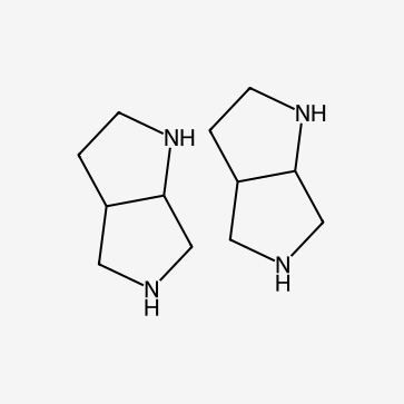 C1CC2CNCC2N1.C1CC2CNCC2N1